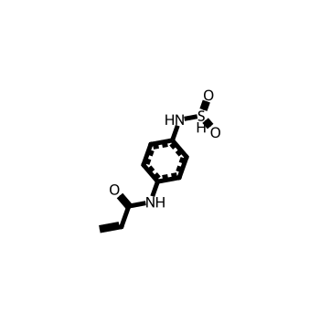 C=CC(=O)Nc1ccc(N[SH](=O)=O)cc1